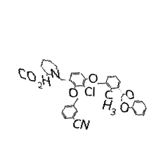 Cc1c(COc2ccc(CN3CCCCC3C(=O)O)c(OCc3cccc(C#N)c3)c2Cl)cccc1[C@H]1COc2ccccc2O1